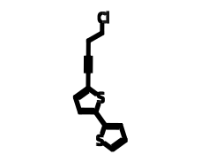 ClCCC#Cc1ccc(-c2cccs2)s1